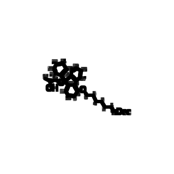 CCCCCCCCCCCCCCCCOc1cccc(C(OCC(C)O)(c2ccccc2)c2ccccc2)c1